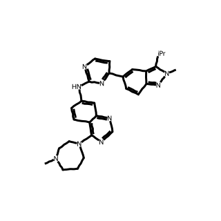 CC(C)c1c2cc(-c3ccnc(Nc4ccc5c(N6CCCN(C)CC6)ncnc5c4)n3)ccc2nn1C